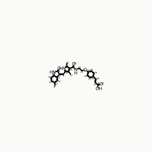 Cc1[nH]c(/C=C2\C(=O)Nc3ccc(F)cc32)c(C)c1C(=O)NCCOc1ccc(C=CC(=O)O)cc1